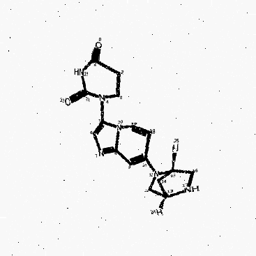 O=C1CCN(c2cnc3cc(N4C[C@@H]5C[C@H]4CN5)ccn23)C(=O)N1